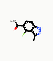 COC(=O)c1ccc2[nH]nc(C)c2c1F